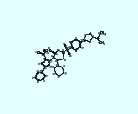 CN(C)C1CCN(c2ccc(S(=O)(=O)N3CC(=O)N(c4cc(-c5ccccc5)sc4C(=O)O)C(C4CCCCC4)C3)cn2)C1